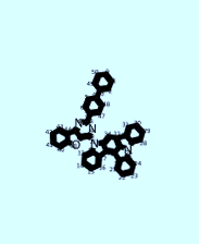 c1ccc(-c2ccc(-c3nc(-n4c5ccccc5c5c6c7ccccc7n7c8ccccc8c(cc54)c67)c4oc5ccccc5c4n3)cc2)cc1